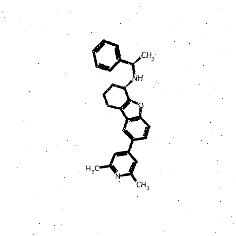 Cc1cc(-c2ccc3oc4c(c3c2)CCC[C@H]4N[C@H](C)c2ccccc2)cc(C)n1